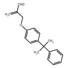 C=C(C=O)COc1ccc(C(C)(C)c2ccccc2)cc1